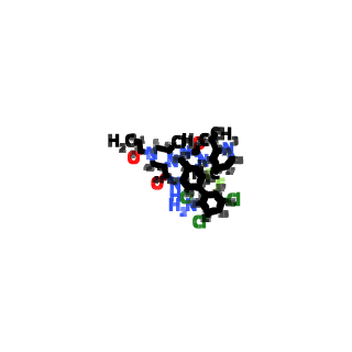 C=CC(=O)N1CC(C)N2c3nc(=O)n(-c4c(C)ccnc4C(C)C)c4c(F)c(-c5c(N)c(Cl)cc(Cl)c5F)c(Cl)c(c34)NC(=O)C2C1